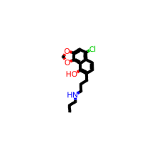 CCCNCCCc1ccc2c(Cl)cc3c(c2c1O)OCO3